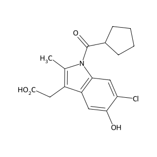 Cc1c(CC(=O)O)c2cc(O)c(Cl)cc2n1C(=O)C1CCCC1